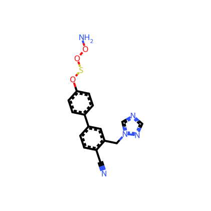 N#Cc1ccc(-c2ccc(OSOON)cc2)cc1Cn1cncn1